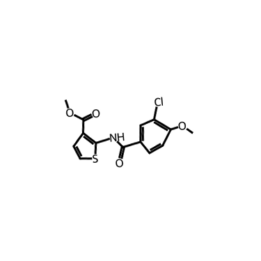 COC(=O)c1ccsc1NC(=O)c1ccc(OC)c(Cl)c1